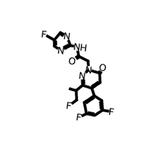 CC(CF)c1nn(CC(=O)Nc2ncc(F)cn2)c(=O)cc1-c1cc(F)cc(F)c1